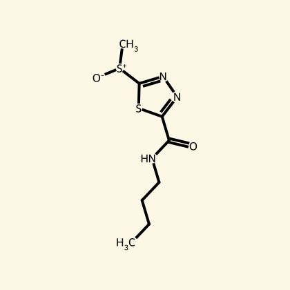 CCCCNC(=O)c1nnc([S+](C)[O-])s1